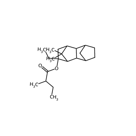 CCC(C)C(=O)OC1(CC)CC2C3C4CCC(C4)C3C1C2(C)C